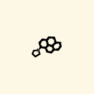 [c]1ccc2ccc3c(N4CCCC4)ccc4ccc1c2c43